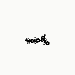 CC(C)(C)OC(=O)N1CCN(S(=O)(=O)c2ccc(-c3cn(S(=O)(=O)c4ccccc4)c4cc(F)ccc34)cc2)CC1